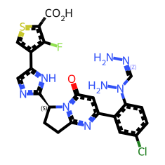 N/N=C\N(N)c1ccc(Cl)cc1-c1cc(=O)n2c(n1)CC[C@H]2c1ncc(-c2csc(C(=O)O)c2F)[nH]1